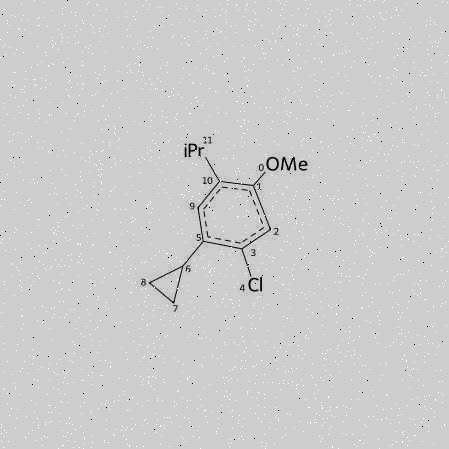 COc1cc(Cl)c(C2CC2)cc1C(C)C